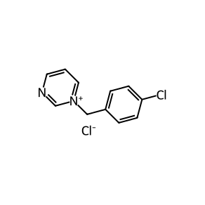 Clc1ccc(C[n+]2cccnc2)cc1.[Cl-]